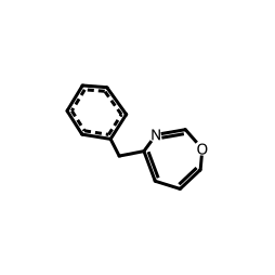 C1=COC=NC(Cc2ccccc2)=C1